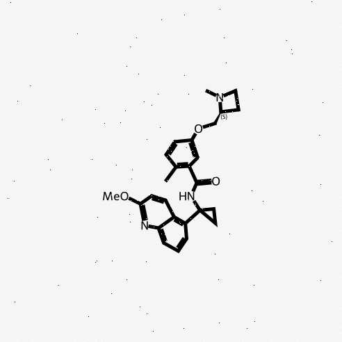 COc1ccc2c(C3(NC(=O)c4cc(OC[C@@H]5CCN5C)ccc4C)CC3)cccc2n1